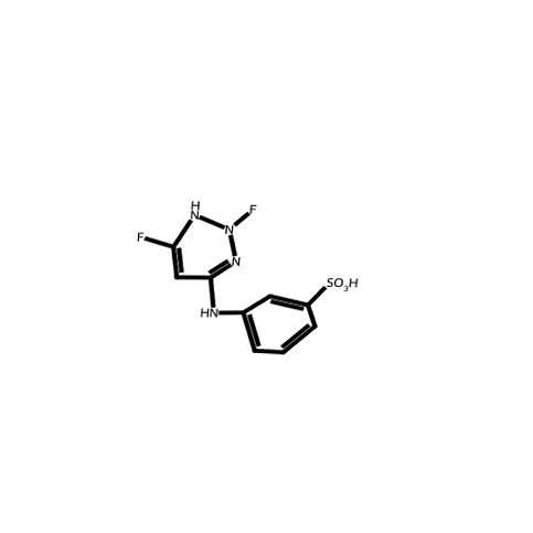 O=S(=O)(O)c1cccc(NC2=NN(F)NC(F)=C2)c1